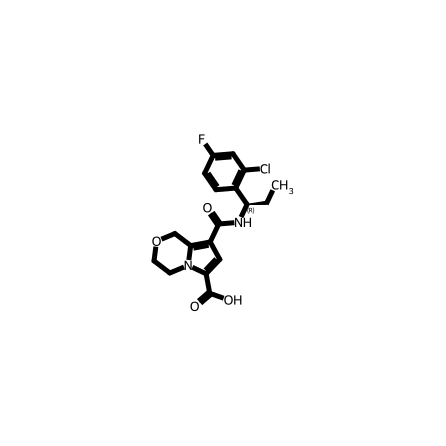 CC[C@@H](NC(=O)c1cc(C(=O)O)n2c1COCC2)c1ccc(F)cc1Cl